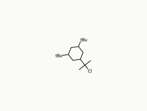 CC(C)(C)C1CC(C(C)(C)C)CC(C(C)(C)Cl)C1